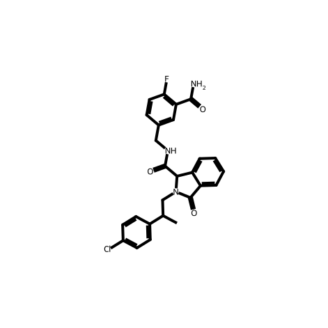 CC(CN1C(=O)c2ccccc2C1C(=O)NCc1ccc(F)c(C(N)=O)c1)c1ccc(Cl)cc1